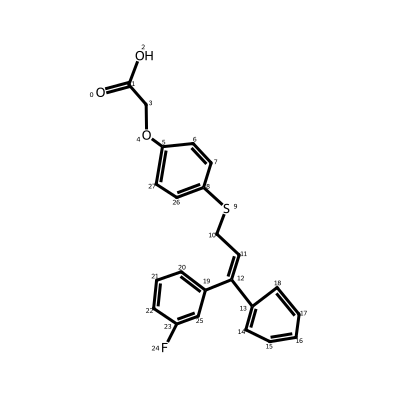 O=C(O)COc1ccc(SCC=C(c2ccccc2)c2cccc(F)c2)cc1